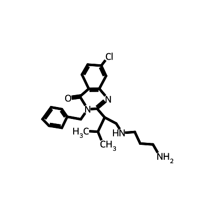 CC(C)C(CNCCCN)c1nc2cc(Cl)ccc2c(=O)n1Cc1ccccc1